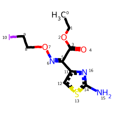 CCOC(=O)C(=NOCCI)c1csc(N)n1